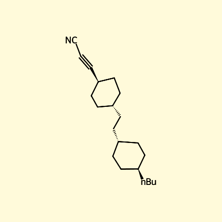 CCCC[C@H]1CC[C@H](CC[C@H]2CC[C@H](C#CC#N)CC2)CC1